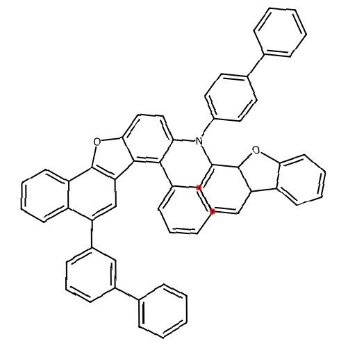 C1=CC2c3ccccc3OC2C(N(c2ccc(-c3ccccc3)cc2)c2ccc3oc4c5ccccc5c(-c5cccc(-c6ccccc6)c5)cc4c3c2-c2ccccc2)=C1